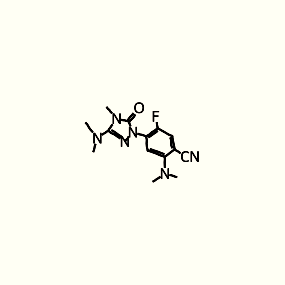 CN(C)c1cc(-n2nc(N(C)C)n(C)c2=O)c(F)cc1C#N